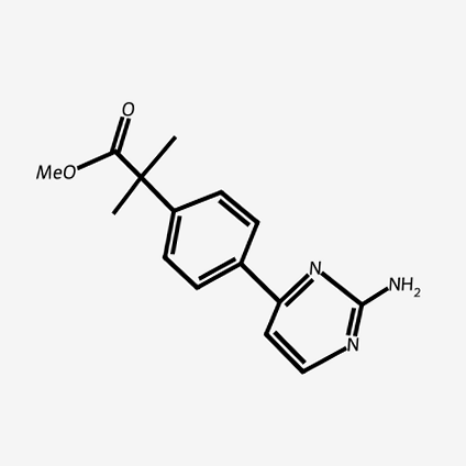 COC(=O)C(C)(C)c1ccc(-c2ccnc(N)n2)cc1